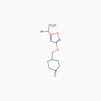 CCOC(=O)C(c1cc(OCC2CCC(=O)CC2)no1)C(C)C